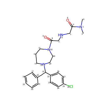 CN(C)C(=O)CNCC(=O)N1CCCN(C(c2ccccc2)c2ccc(Cl)cc2)CC1